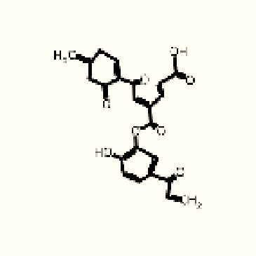 C=CC(=O)c1ccc(O)c(OC(=O)C(C=CC(=O)O)=CC(=O)C2=CCC(=C)CC2=O)c1